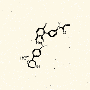 C=CC(=O)Nc1cccc(-c2c(F)ccc3cnc(Nc4ccc([C@@]5(CO)CNCCO5)cc4)nc23)c1